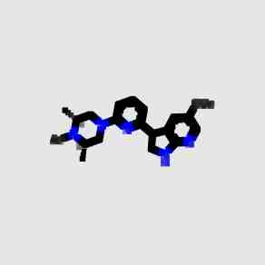 COc1cnc2c(c1)C(c1cccc(N3C[C@@H](C)N(C(C)=O)[C@@H](C)C3)n1)CN2